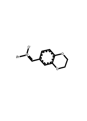 CC(C)[N+]([O-])=Cc1ccc2c(c1)OCCO2